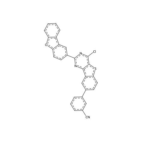 N#Cc1cccc(-c2ccc3sc4c(Cl)nc(-c5ccc6oc7ccccc7c6c5)nc4c3c2)c1